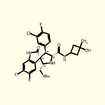 CC(C)(C)C[C@H]1N[C@@H](C(=O)NC2CC(C)(O)C2)[C@H](c2ccc(F)c(Cl)c2)[C@@]12C(=O)Nc1cc(Cl)c(F)cc12